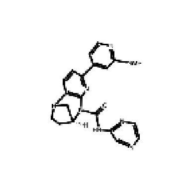 CNc1cc(-c2ccc3c(n2)N(C(=O)Nc2cnccn2)[C@H]2CCN3C2)ccn1